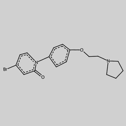 O=c1cc(Br)ccn1-c1ccc(OCCN2CCCC2)cc1